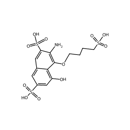 Nc1c(S(=O)(=O)O)cc2cc(S(=O)(=O)O)cc(O)c2c1OCCCCS(=O)(=O)O